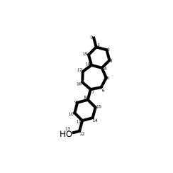 CC1CCC2CCC(C3CCC(CO)CC3)CCC2C1